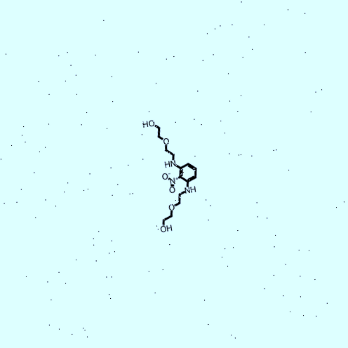 O=[N+]([O-])c1c(NCCOCCO)cccc1NCCOCCO